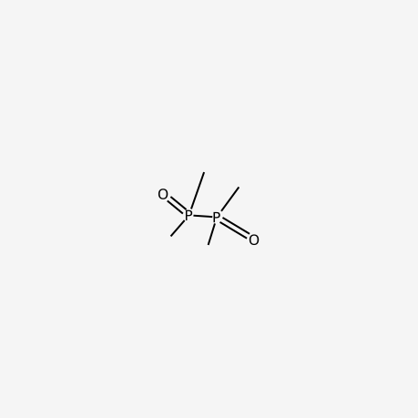 CP(C)(=O)P(C)(C)=O